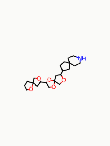 C1COC2(C1)COC(C1COC3(COC(C4CCC5(CCNCC5)C4)C3)O1)C2